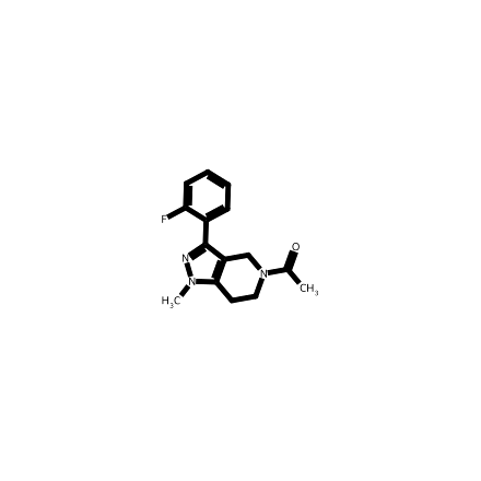 CC(=O)N1CCc2c(c(-c3ccccc3F)nn2C)C1